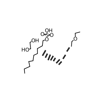 C=C.C=C.C=C.C=C.C=C.C=C.C=C.C=C.C=C.CCCCCCCCCCOS(=O)(=O)O.CCOCC.OCCO